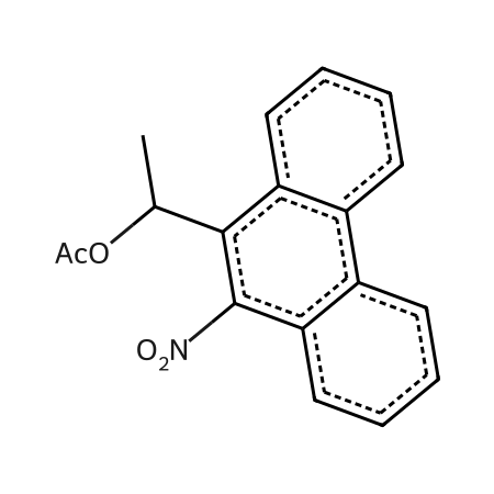 CC(=O)OC(C)c1c([N+](=O)[O-])c2ccccc2c2ccccc12